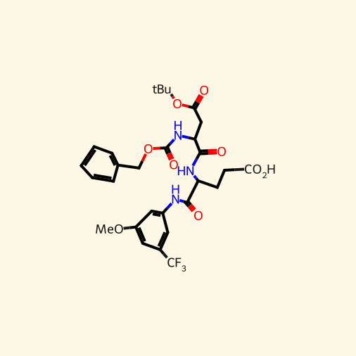 COc1cc(NC(=O)C(CCC(=O)O)NC(=O)C(CC(=O)OC(C)(C)C)NC(=O)OCc2ccccc2)cc(C(F)(F)F)c1